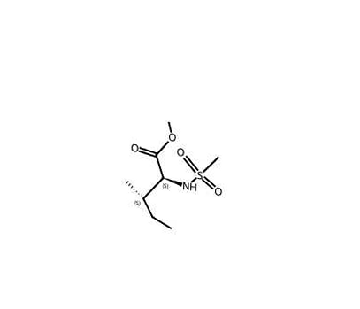 CC[C@H](C)[C@H](NS(C)(=O)=O)C(=O)OC